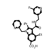 CCc1cc(C(=O)O)cc2c1c(C(=O)NCc1cncc(F)c1)c(C(C)C)n2Cc1ccccn1